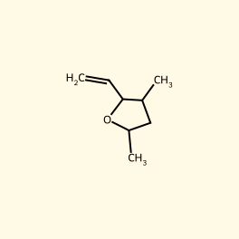 C=CC1OC(C)CC1C